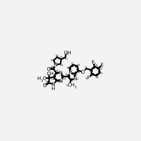 Cc1nc2c(OCc3c(F)ccc(F)c3F)cccn2c1-c1nc2c(c(C(=O)N3CCC(CO)C3)n1)C(C)(C)C(=O)N2